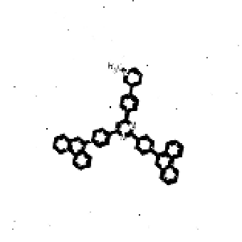 CN1C=CC=C(c2ccc(-c3cc(-c4ccc(-c5cc6ccccc6c6ccccc56)cc4)nc(-c4ccc(-c5cc6ccccc6c6ccccc56)cc4)n3)cc2)C1